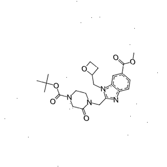 COC(=O)c1ccc2nc(CN3CCN(C(=O)OC(C)(C)C)CC3=O)n(CC3CCO3)c2c1